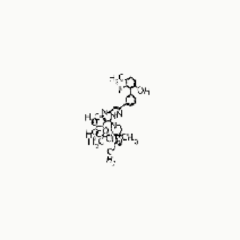 C=CCOC1(C)CCN(c2c(C(OC(C)(C)C)C(=O)O)c(C)nc3cc(-c4cccc(-c5c(O)ccc(C)c5F)c4)nn23)CC1